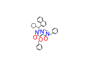 O=C1c2c(OCc3ccccc3)c(=O)nc(C(c3cccc4ccccc34)C3CCCC3)n2CCN1Cc1ccccc1